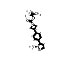 Cn1nccc1-c1ccc(C2CN(C(=O)OC(C)(C)C)C2)cc1